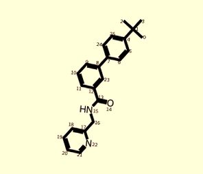 CC(C)(C)c1ccc(-c2cccc(C(=O)NCc3ccccn3)c2)cc1